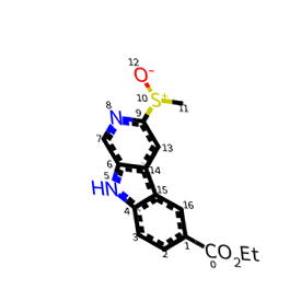 CCOC(=O)c1ccc2[nH]c3cnc([S+](C)[O-])cc3c2c1